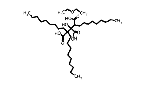 CCCCCCCCCC(C(=O)O)C(O)(C(=O)O)C(CCCCCCCCC)(CCCCCCCCC)C(=O)O.CCOCC